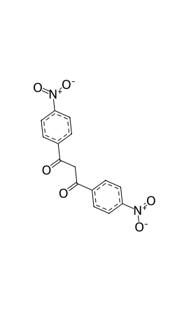 O=C(CC(=O)c1ccc([N+](=O)[O-])cc1)c1ccc([N+](=O)[O-])cc1